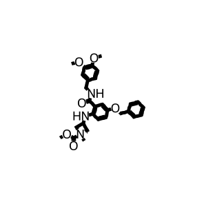 COC(=O)[N+]1(C)CC(Nc2ccc(OCc3ccccc3)cc2C(=O)NCc2ccc(OC)c(OC)c2)C1